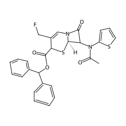 CC(=O)N(c1cccs1)C1C(=O)N2C=C(CF)C(C(=O)OC(c3ccccc3)c3ccccc3)S[C@H]12